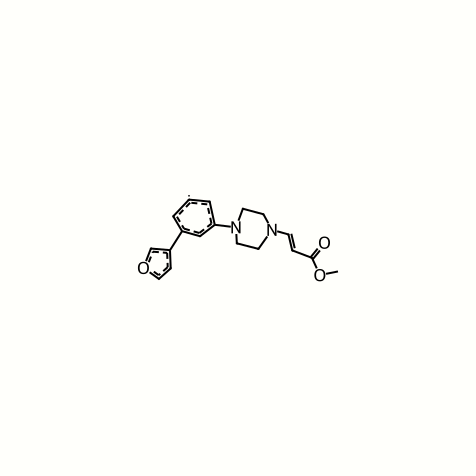 COC(=O)C=CN1CCN(c2c[c]cc(-c3ccoc3)c2)CC1